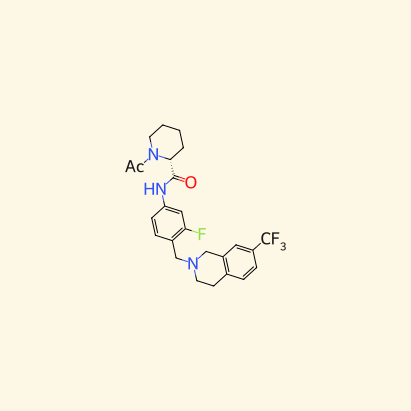 CC(=O)N1CCCC[C@@H]1C(=O)Nc1ccc(CN2CCc3ccc(C(F)(F)F)cc3C2)c(F)c1